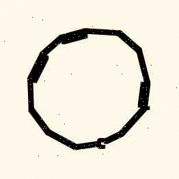 [C]1=CCCC=CC=CCCCCC1